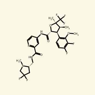 COc1c([C@H]2[C@H](C(=O)Nc3ccnc(C(=O)NC[C@@H]4CC(F)(F)CN4C)c3)O[C@@](C)(C(F)(F)F)[C@H]2C)ccc(F)c1F